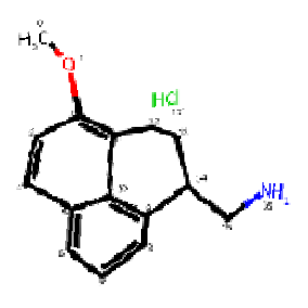 COc1ccc2cccc3c2c1CCC3CN.Cl